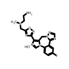 CN(CCN)Cc1nc(-c2ncn3c2Cn2ncnc2-c2cc(F)ccc2-3)no1.Cl